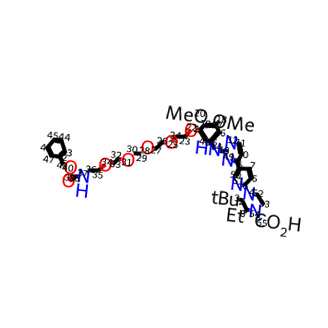 CCC1C(C(C)(C)C)N(c2ccc(-c3ccnc(Nc4cc(OC)c(OC)c(OCCOCCOCCOCCOCCNC(=O)OCc5ccccc5)c4)n3)cn2)CCN1C(=O)O